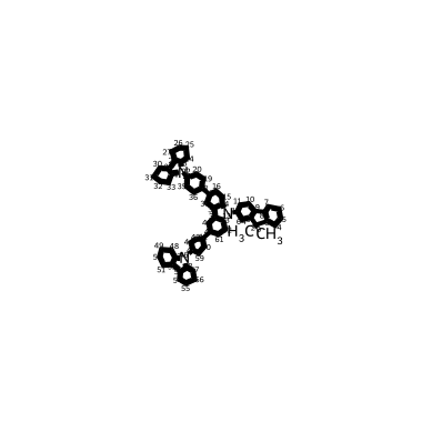 CC1(C)c2ccccc2-c2ccc(-n3c4ccc(-c5ccc(-n6c7ccccc7c7ccccc76)cc5)cc4c4cc(-c5ccc(-n6c7ccccc7c7ccccc76)cc5)ccc43)cc21